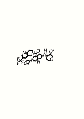 CO[C@@H]1COCC[C@@H]1N[C@@H]1C[C@H]2CN(C3COC3)C[C@@]2(C(=O)N2CCc3ncc(C(F)(F)F)cc3C2)C1